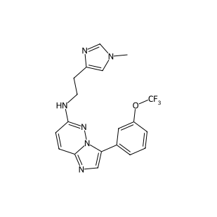 Cn1cnc(CCNc2ccc3ncc(-c4cccc(OC(F)(F)F)c4)n3n2)c1